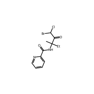 CCC(C)(NC(=O)c1ccccn1)C(=O)C(Cl)Br